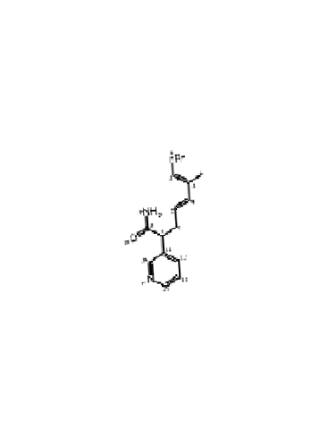 CCCC=C(C)C=CCC(C(N)=O)c1cccnc1